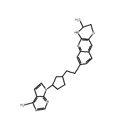 CC1COc2cc3ccc(CCC4CCC(n5ccc6c(N)ncnc65)C4)cc3nc2N1